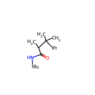 CC(C)C(C)(C)C(C)C(=O)NC(C)(C)C